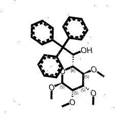 CO[C@H]1O[C@H](C(O)C(c2ccccc2)(c2ccccc2)c2ccccc2)[C@@H](OC)[C@H](OC)[C@@H]1OC